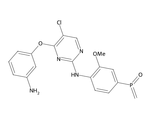 C=P(=O)c1ccc(Nc2ncc(Cl)c(Oc3cccc(N)c3)n2)c(OC)c1